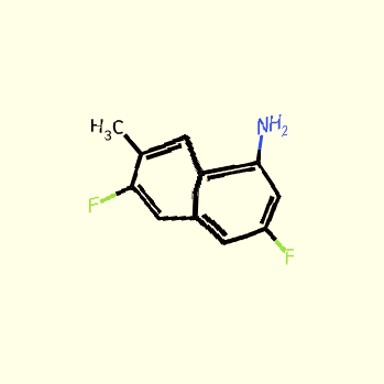 Cc1cc2c(N)cc(F)cc2cc1F